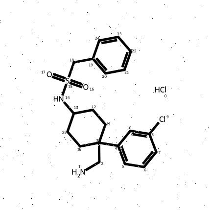 Cl.NCC1(c2cccc(Cl)c2)CCC(NS(=O)(=O)Cc2ccccc2)CC1